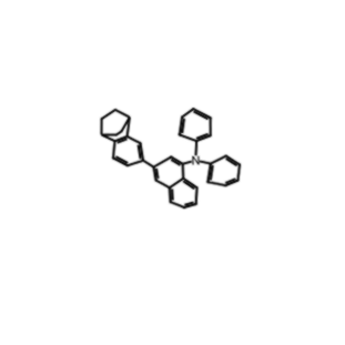 c1ccc(N(c2ccccc2)c2cc(-c3ccc4c(c3)C3CCC4CC3)cc3ccccc23)cc1